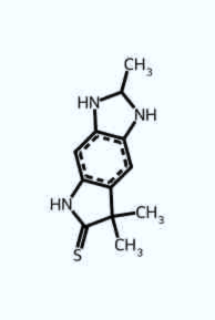 CC1Nc2cc3c(cc2N1)C(C)(C)C(=S)N3